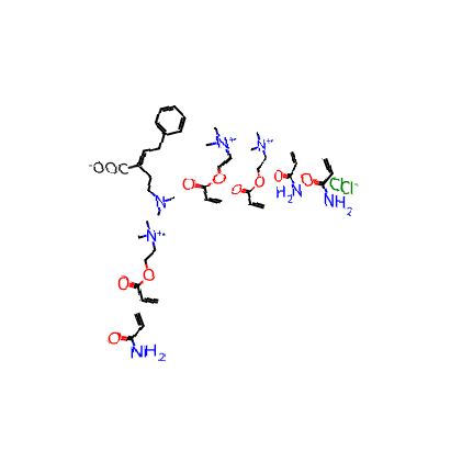 C=CC(=O)OCC[N+](C)(C)C.C=CC(=O)OCC[N+](C)(C)C.C=CC(=O)OCC[N+](C)(C)C.C=CC(N)=O.C=CC(N)=O.C=CC(N)=O.CN(C)CCC(=CCc1ccccc1)C(=O)[O-].[Cl-].[Cl-]